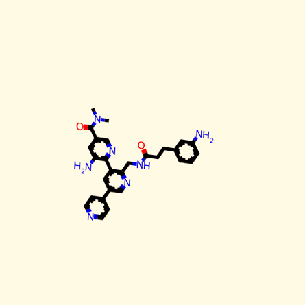 CN(C)C(=O)c1cnc(-c2cc(-c3ccncc3)cnc2CNC(=O)CCc2cccc(N)c2)c(N)c1